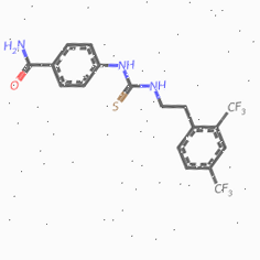 NC(=O)c1ccc(NC(=S)NCCc2ccc(C(F)(F)F)cc2C(F)(F)F)cc1